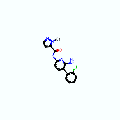 CCn1nccc1C(=O)Nc1ccc(-c2ccccc2Cl)c(N)n1